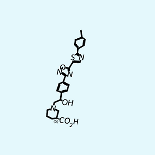 Cc1ccc(-c2ncc(-c3nc(-c4ccc(C(O)CN5CCC[C@H](C(=O)O)C5)cc4)no3)s2)cc1